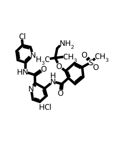 CC(C)(CN)Oc1cc(S(C)(=O)=O)ccc1C(=O)Nc1cccnc1C(=O)Nc1ccc(Cl)cn1.Cl